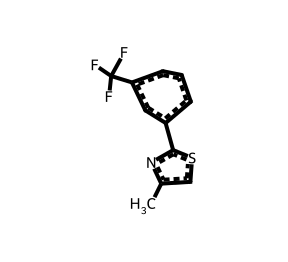 Cc1csc(-c2cccc(C(F)(F)F)c2)n1